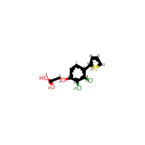 O=C(O)COc1ccc(-c2cccs2)c(Cl)c1Cl